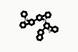 c1ccc(-n2c3ccccc3c3ccc(-c4ccc5c6ccccc6n(-c6cc(-c7ccc8ccccc8c7)c7sc8ccccc8c7c6)c5c4)cc32)cc1